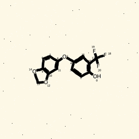 Oc1ccc(Oc2ccc3c(c2)OCO3)cc1C(F)(F)F